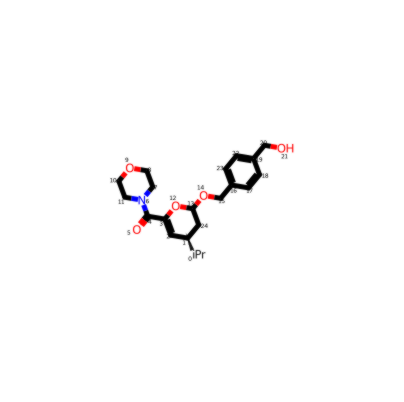 CC(C)[C@H]1C=C(C(=O)N2CCOCC2)OC(OCc2ccc(CO)cc2)C1